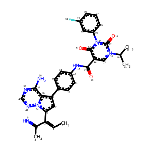 C/C=C(/C(C)=N)c1cc(-c2ccc(NC(=O)c3cn(C(C)C)c(=O)n(-c4cccc(F)c4)c3=O)cc2)c2c(N)ncnn12